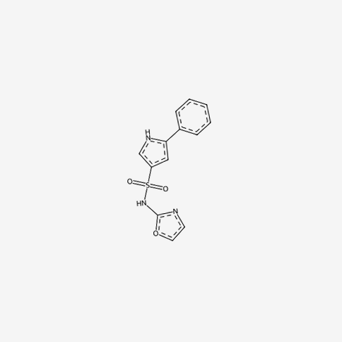 O=S(=O)(Nc1ncco1)c1c[nH]c(-c2ccccc2)c1